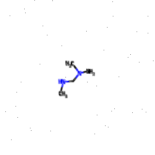 BN(C)CNC